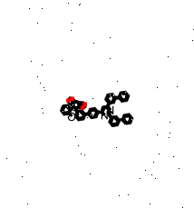 c1ccc(-c2cccc(-c3cc(-c4ccc(-c5ccc6c(c5)C5(c7ccccc7O6)c6ccccc6-c6ccccc65)cc4)nc(-c4cccc(-c5ccccc5)c4)n3)c2)cc1